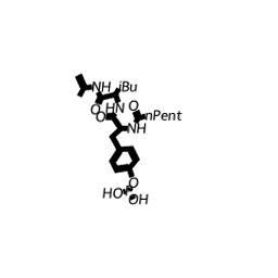 C=C(C)NC(=O)C(NC(=O)C(Cc1ccc(OP(O)O)cc1)NC(=O)CCCCC)C(C)CC